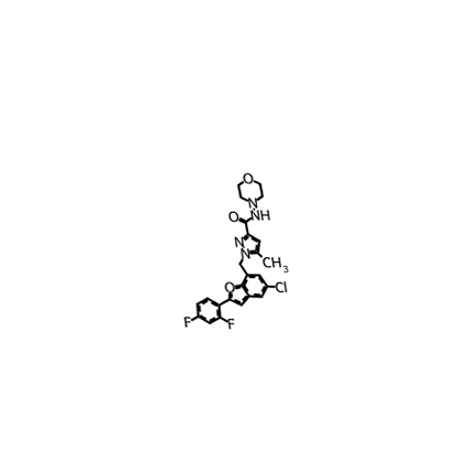 Cc1cc(C(=O)NN2CCOCC2)nn1Cc1cc(Cl)cc2cc(-c3ccc(F)cc3F)oc12